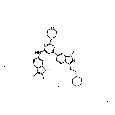 Cc1c(C)n(C)c2cc(Nc3cc(-c4ccc5c(CCN6CCOCC6)nn(C)c5c4)nc(N4CCOCC4)n3)ccc12